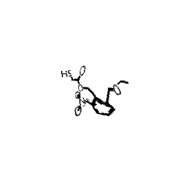 CCOCc1cccc([N+](=O)[O-])c1COC(=O)CS